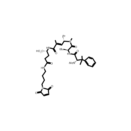 CN[C@H](C(=O)N[C@H](C(=O)N(C)[C@H](/C=C(\C)C(=O)N[C@H](CCC(=O)NCCCCN1C(=O)C=CC1=O)C(=O)O)C(C)C)C(C)(C)C)C(C)(C)c1ccccc1